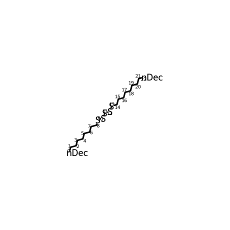 CCCCCCCCCCCCCCCCCCSSSSSCCCCCCCCCCCCCCCCCC